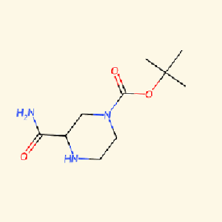 CC(C)(C)OC(=O)N1CCNC(C(N)=O)C1